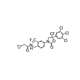 O=C(CC1CC1)NCc1ccc(N2CC(c3cc(Cl)c(Cl)c(Cl)c3)(C(F)(F)F)OC2=O)cc1C(F)(F)F